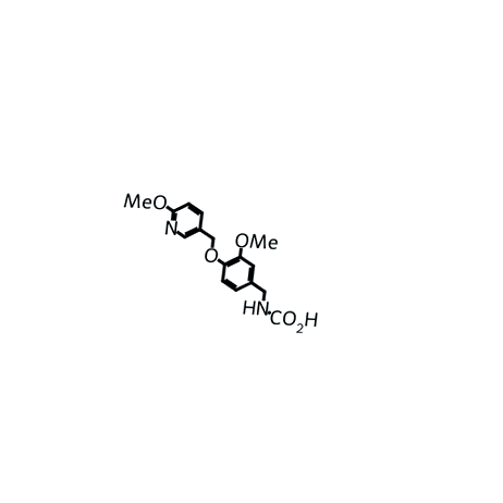 COc1ccc(COc2ccc(CNC(=O)O)cc2OC)cn1